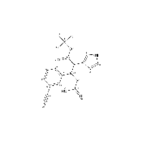 CC(C)(C)OC(=O)C(c1c[nH]cn1)N(CC(=O)O)c1cccc(C#N)c1